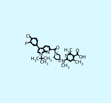 Cc1cc(N(C)[C@@H]2CCN(C(=O)c3ccc4c(-c5ccc(Cl)c(F)c5)cn(C(C)(C)C)c4n3)C2)nc(C)c1C(=O)O